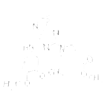 COC(=O)C1CCN(c2nc(Nc3ccc(OC)c(OC)c3)c3ncsc3n2)CC1